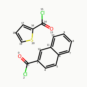 O=C(Cl)c1ccc2ccccc2c1.O=C(Cl)c1cccs1